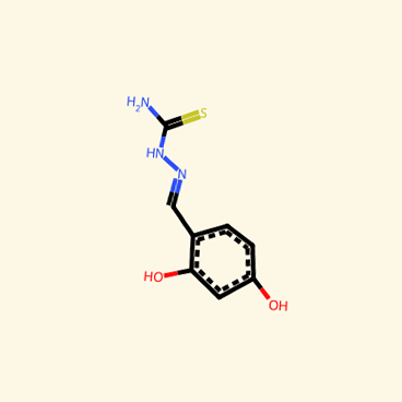 NC(=S)NN=Cc1ccc(O)cc1O